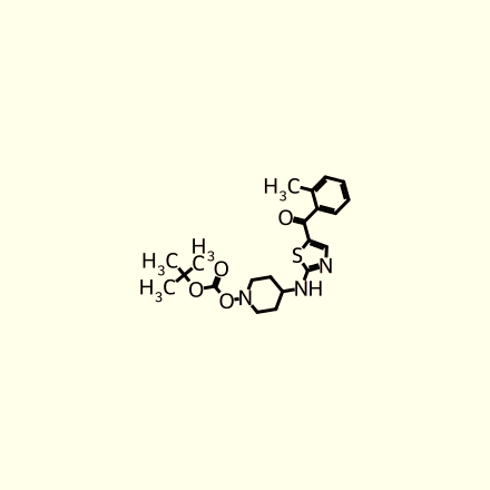 Cc1ccccc1C(=O)c1cnc(NC2CCN(OC(=O)OC(C)(C)C)CC2)s1